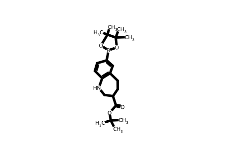 CC(C)(C)OC(=O)C1CCc2cc(B3OC(C)(C)C(C)(C)O3)ccc2NC1